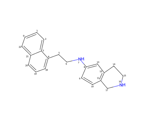 c1ccc2c(CCNc3ccc4c(c3)CCNC4)cccc2c1